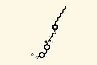 CCCCCCCCCc1ccc(OCCOC(=O)NC2CCC(CC3CCC(N=C=O)CC3)CC2)cc1